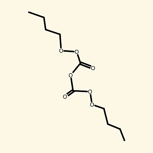 CCCCOOC(=O)OC(=O)OOCCCC